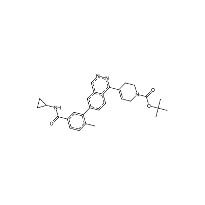 Cc1ccc(C(=O)NC2CC2)cc1-c1ccc2c(C3=CCN(C(=O)OC(C)(C)C)CC3)nncc2c1